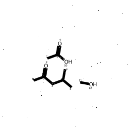 CC(=O)CC(C)C.CC(=O)O.CO